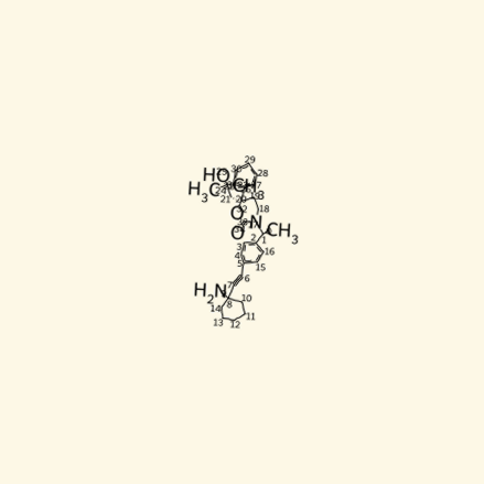 C[C@@H](c1ccc(C#CC2(N)CCCCC2)cc1)N1CC[C@](CC(C)(C)O)(c2ccccc2)OC1=O